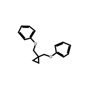 [c]1ccc(OCC2(COc3ccccc3)CC2)cc1